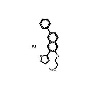 COCCOc1cc2ccc(-c3ccccc3)cc2cc1C1=NCCN1.Cl